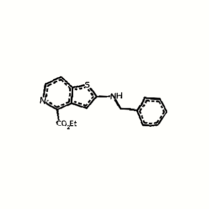 CCOC(=O)c1nccc2sc(NCc3ccccc3)cc12